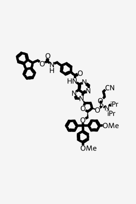 COc1ccc(C(OC[C@H]2O[C@@H](n3cnc4c(NC(=O)c5ccc(CNC(=O)OCC6c7ccccc7-c7ccccc76)cc5)ncnc43)C[C@H]2OP(OCCC#N)N(C(C)C)C(C)C)(c2ccccc2)c2ccc(OC)cc2)cc1